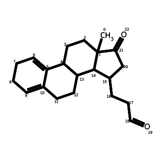 CC12CCC3C4=CCCC=C4CCC3C1C(CCC=O)CC2=O